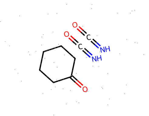 N=C=O.N=C=O.O=C1CCCCC1